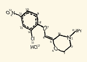 CC(C)N1CCOC(=COc2ccc([N+](=O)[O-])cc2Cl)C1.Cl